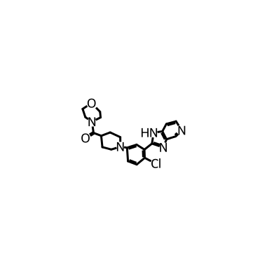 O=C(C1CCN(c2ccc(Cl)c(-c3nc4cnccc4[nH]3)c2)CC1)N1CCOCC1